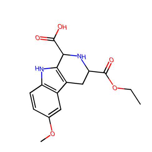 CCOC(=O)C1Cc2c([nH]c3ccc(OC)cc23)C(C(=O)O)N1